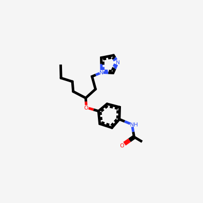 CCCCC(CCn1ccnc1)Oc1ccc(NC(C)=O)cc1